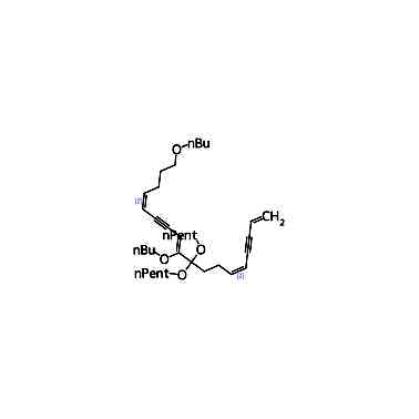 C=CC#C/C=C\CCC(OCCCCC)(OCCCCC)C(=CC#C/C=C\CCCOCCCC)OCCCC